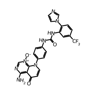 Nc1nc[n+]([O-])c2c1c(=O)ccn2-c1ccc(NC(=O)Nc2cc(C(F)(F)F)ccc2-n2ccnc2)cc1